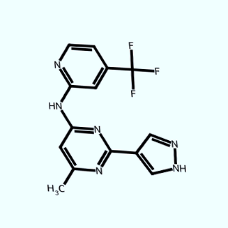 Cc1cc(Nc2cc(C(F)(F)F)ccn2)nc(-c2cn[nH]c2)n1